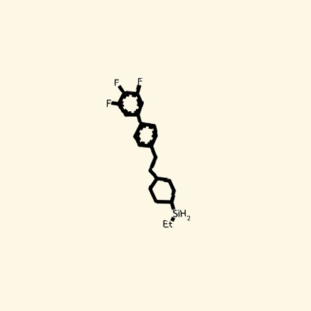 CC[SiH2]C1CCC(CCc2ccc(-c3cc(F)c(F)c(F)c3)cc2)CC1